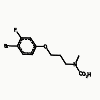 CN(CCCOc1ccc(Br)c(F)c1)C(=O)O